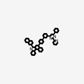 c1ccc(-c2cc(-c3cccc(-c4ccc(-c5cc6c(-c7ccc8ccccc8c7)nc7ccccc7c6c6ccccc56)cc4)c3)nc(-c3ccccn3)n2)cc1